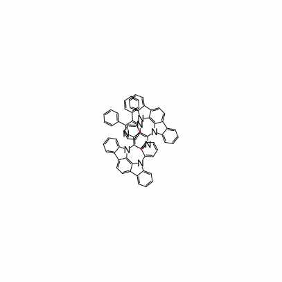 c1ccc(-c2nc3c(-n4c5ccccc5c5ccc6c7ccccc7n(-c7ccccc7)c6c54)cnc(-n4c5ccccc5c5ccc6c7ccccc7n(-c7ccccc7)c6c54)c3nc2-c2ccccc2)cc1